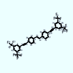 FC(F)(F)c1cc(C#Cc2ccc(/C=C/c3ccc(C#Cc4cc(C(F)(F)F)cc(C(F)(F)F)c4)cc3)cc2)cc(C(F)(F)F)c1